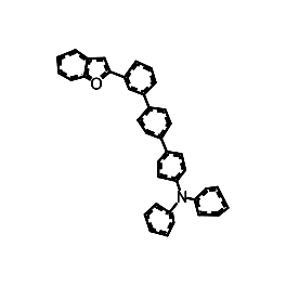 c1ccc(N(c2ccccc2)c2ccc(-c3ccc(-c4cccc(-c5cc6ccccc6o5)c4)cc3)cc2)cc1